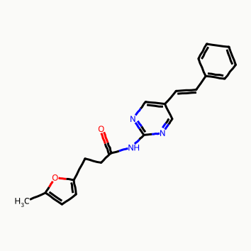 Cc1ccc(CCC(=O)Nc2ncc(C=Cc3ccccc3)cn2)o1